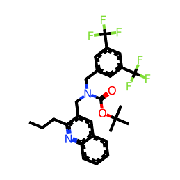 CCCc1nc2ccccc2cc1CN(Cc1cc(C(F)(F)F)cc(C(F)(F)F)c1)C(=O)OC(C)(C)C